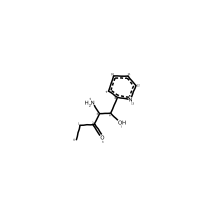 CCC(=O)C(N)C(O)c1ccccn1